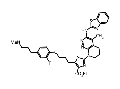 CCOC(=O)c1nc(N2CCCc3c2nnc(Nc2nc4ccccc4s2)c3C)sc1CCCOc1ccc(CCCNC)cc1F